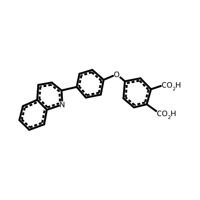 O=C(O)c1ccc(Oc2ccc(-c3ccc4ccccc4n3)cc2)cc1C(=O)O